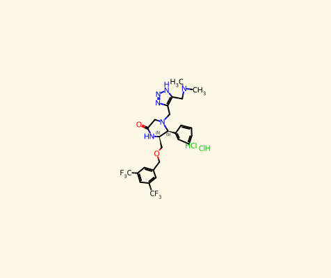 CN(C)Cc1[nH]nnc1CN1CC(=O)N[C@H](COCc2cc(C(F)(F)F)cc(C(F)(F)F)c2)[C@@H]1c1ccccc1.Cl.Cl